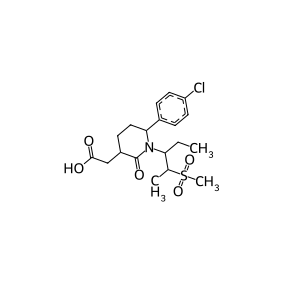 CCC(C(C)S(C)(=O)=O)N1C(=O)C(CC(=O)O)CCC1c1ccc(Cl)cc1